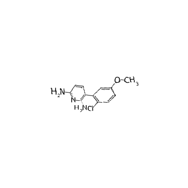 COc1ccc(Cl)c(-c2ccc(N)nc2N)c1